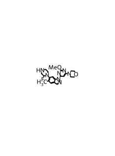 COc1nc(N2CCOCC2)cc(-n2ncc3cc(C)c(N4CCNCC4F)cc32)n1